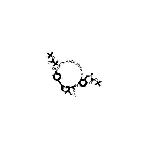 CN(Cc1cccc2c1OCCOCCOCCN(C(C)(C)C(=O)OC(C)(C)C)[S+]([O-])c1ccc(cc1)-c1cnc(N)c(n1)C(=O)N2)C(=O)OC(C)(C)C